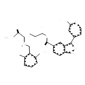 COC(=O)[C@H](CC[C@H](C)NC(=O)c1ccc2[nH]nc(-c3ccnc(C)c3)c2c1)N(C)Cc1c(F)cccc1OC